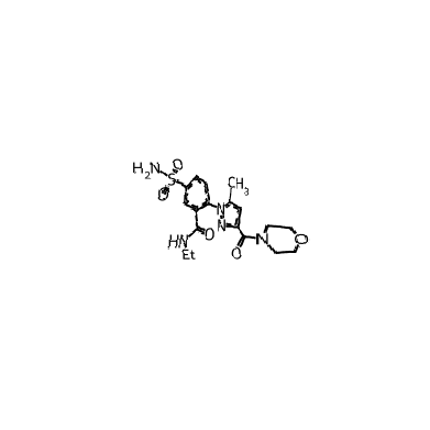 CCNC(=O)c1cc(S(N)(=O)=O)ccc1-n1nc(C(=O)N2CCOCC2)cc1C